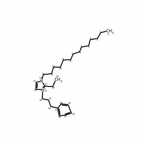 CCCCCCCCCCCCCCn1cc[n+](CCCc2ccccc2)c1CC